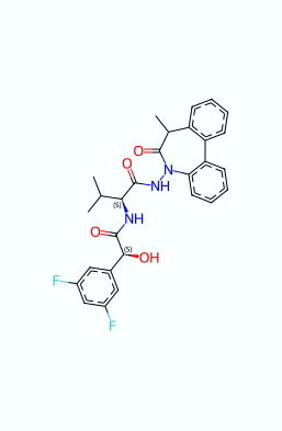 CC1C(=O)N(NC(=O)[C@@H](NC(=O)[C@@H](O)c2cc(F)cc(F)c2)C(C)C)c2ccccc2-c2ccccc21